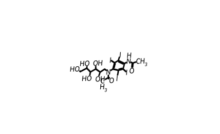 CC(=O)Nc1c(I)c(I)c(N(CC(O)C(O)C(O)C(O)CO)C(C)=O)c(I)c1I